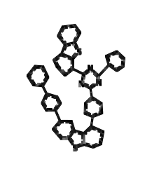 c1ccc(-c2ccc(-c3ccc4sc5cccc(-c6ccc(-c7nc(-c8ccccc8)nc(-c8cccc9c8sc8ccccc89)n7)cc6)c5c4c3)cc2)cc1